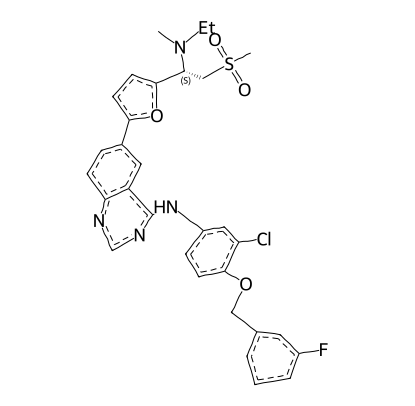 CCN(C)[C@H](CS(C)(=O)=O)c1ccc(-c2ccc3ncnc(Nc4ccc(OCc5cccc(F)c5)c(Cl)c4)c3c2)o1